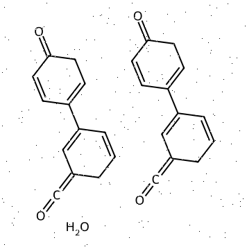 O.O=C=C1C=C(C2=CCC(=O)C=C2)C=CC1.O=C=C1C=C(C2=CCC(=O)C=C2)C=CC1